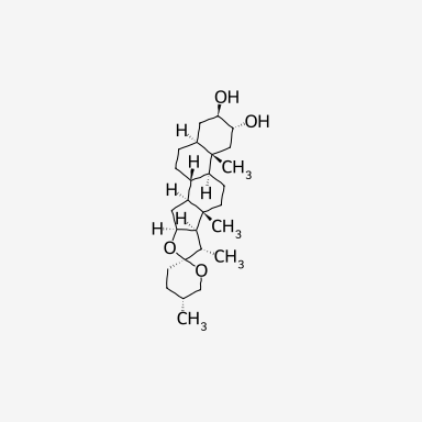 C[C@@H]1CC[C@]2(OC1)O[C@H]1C[C@H]3[C@@H]4CC[C@H]5C[C@@H](O)[C@H](O)C[C@]5(C)[C@H]4CC[C@]3(C)[C@H]1[C@@H]2C